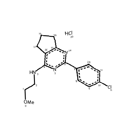 COCCNc1nc(-c2ccc(Cl)cc2)nc2c1CCC2.Cl